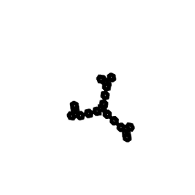 c1ccc(-n2c3ccccc3c3cc(-c4ccc(-c5ccc(N(c6ccc(-c7ccc(-c8ccc9c(c8)c8ccccc8n9-c8ccccc8)cc7)cc6)c6ccc(-c7ccc(-c8ccc9c%10ccccc%10n(-c%10ccccc%10)c9c8)cc7)cc6)cc5)cc4)ccc32)cc1